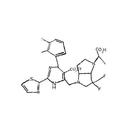 CCOC(=O)C1=C(CN2CC(F)(F)C3C2CCN3C(C)C(=O)O)NC(c2nccs2)=NC1c1cccc(F)c1C